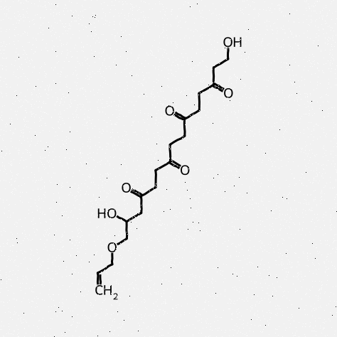 C=CCOCC(O)CC(=O)CCC(=O)CCC(=O)CCC(=O)CCO